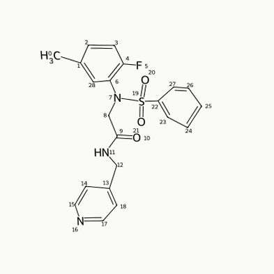 Cc1ccc(F)c(N(CC(=O)NCc2ccncc2)S(=O)(=O)c2ccccc2)c1